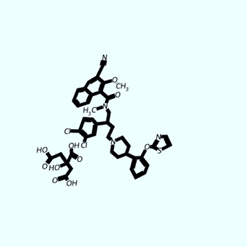 COc1c(C#N)cc2ccccc2c1C(=O)N(C)CC(CCN1CCC(c2ccccc2Oc2nccs2)CC1)c1ccc(Cl)c(Cl)c1.O=C(O)CC(O)(CC(=O)O)C(=O)O